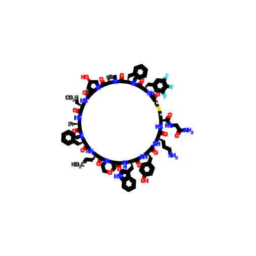 CCCC[C@H]1C(=O)N2C[C@H](O)C[C@@H]2C(=O)N[C@@H](CC(=O)O)C(=O)N[C@@H](C(C)C)C(=O)N(C)[C@@H](Cc2ccccc2)C(=O)N[C@@H](CCC(=O)O)C(=O)N2CCOC[C@@H]2C(=O)N[C@@H](Cc2c[nH]c3ccccc23)C(=O)N[C@@H](Cc2ccc(O)cc2)C(=O)N[C@@H](CCCN)C(=O)N[C@H](C(=O)NCC(N)=O)CSCC(=O)N[C@@H](Cc2cc(F)c(F)c(F)c2)C(=O)N(C)[C@@H](Cc2ccccc2)C(=O)N1C